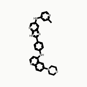 Cc1cc(Nc2cnc3[nH]c(-c4ccc(Nc5ccnc6ccc(N7CCOCC7)cc56)cc4)nc3c2)ccn1